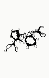 COC(=O)c1cccc(Nc2ccccc2NC(C)=O)c1F